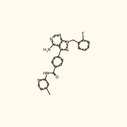 Cc1ccnc(NC(=O)c2ccc(-c3nn(Cc4ccccc4F)c4ncnc(N)c34)cc2)c1